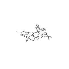 C[C@@H]1CN(CC(c2cnc(NC(=O)OC(C)(C)C)s2)N2CC(F)(F)CCC2=O)C[C@@H](C)O1